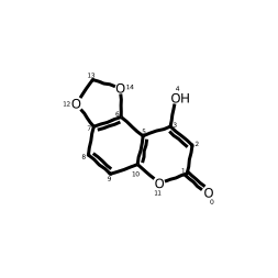 O=c1cc(O)c2c3c(ccc2o1)OCO3